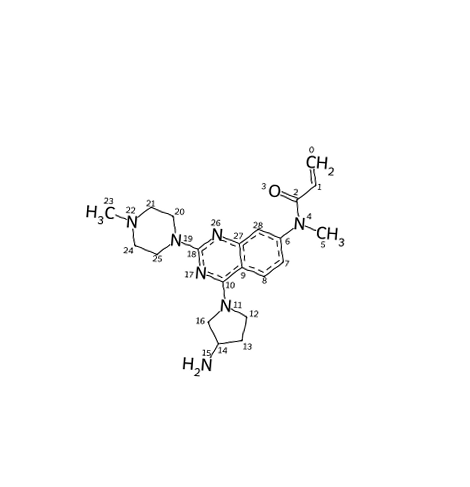 C=CC(=O)N(C)c1ccc2c(N3CCC(N)C3)nc(N3CCN(C)CC3)nc2c1